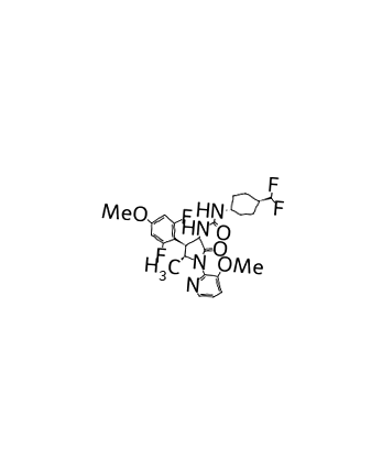 COc1cc(F)c([C@H]2C(NC(=O)N[C@H]3CC[C@H](C(F)F)CC3)C(=O)N(c3ncccc3OC)[C@H]2C)c(F)c1